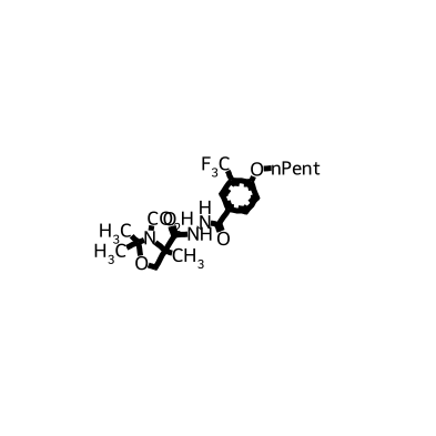 CCCCCOc1ccc(C(=O)NNC(=O)C2(C)COC(C)(C)N2C(=O)O)cc1C(F)(F)F